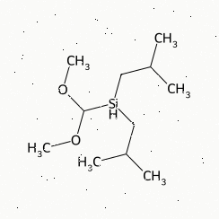 COC(OC)[SiH](CC(C)C)CC(C)C